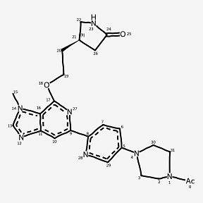 CC(=O)N1CCN(c2ccc(-c3cc4ncn(C)c4c(OCC[C@H]4CNC(=O)C4)n3)nc2)CC1